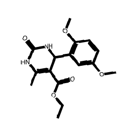 CCOC(=O)C1=C(C)NC(=O)NC1c1cc(OC)ccc1OC